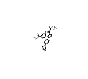 Cc1cc(C(N)=O)ccc1-c1c(CCC(=O)O)ccn1-c1ccc(-n2ccnc2)cc1